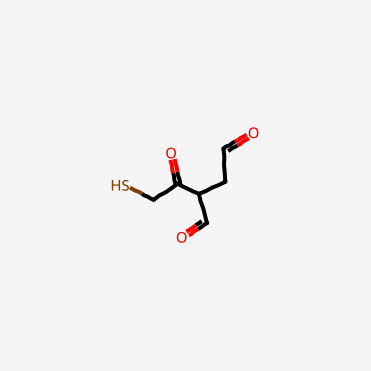 O=CCC(C=O)C(=O)CS